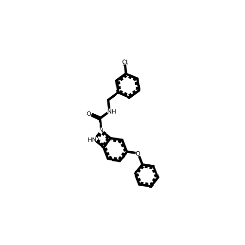 O=C(NCc1cccc(Cl)c1)n1[nH]c2ccc(Oc3ccccc3)cc21